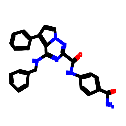 NC(=O)c1ccc(NC(=O)c2nc(NCc3ccccc3)c3c(-c4ccccc4)ccn3n2)cc1